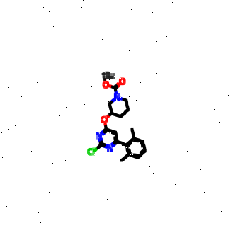 Cc1cccc(C)c1-c1cc(OC2CCCN(C(=O)OC(C)(C)C)C2)nc(Cl)n1